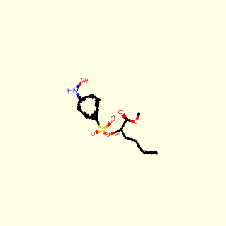 C=CCC[C@@H](OS(=O)(=O)c1ccc(NO)cc1)C(=O)OC